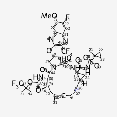 COc1cc2nc(O[C@@H]3C[C@H]4C(=O)N[C@]5(C(=O)NS(=O)(=O)C6(C)CC6)C[C@H]5/C=C\CC[C@@H](C)C[C@@H](C)[C@H](NC(=O)OC(C)(C)C(F)(F)F)C(=O)N4C3)c(C(F)(F)F)nc2cc1F